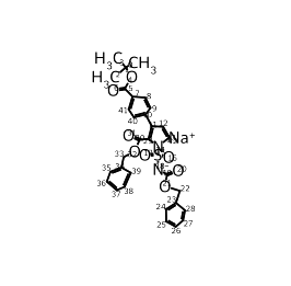 CC(C)(C)OC(=O)c1ccc(-c2ccn(S(=O)(=O)[N-]C(=O)OCc3ccccc3)c2C(=O)OCc2ccccc2)cc1.[Na+]